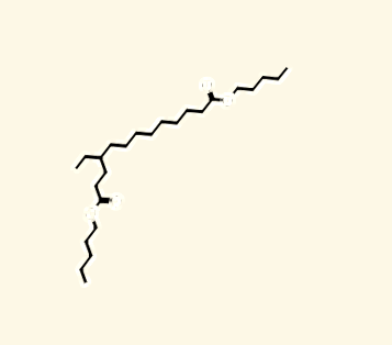 CCCCCOC(=O)CCCCCCCCC(CC)CCC(=O)OCCCCC